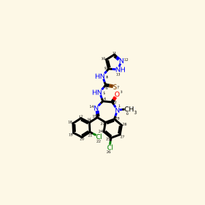 CN1C(=O)C(NC(=S)Nc2ccn[nH]2)N=C(c2ccccc2Cl)c2cc(Cl)ccc21